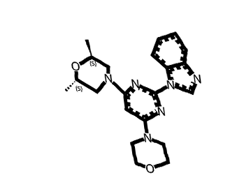 C[C@H]1CN(c2cc(N3CCOCC3)nc(-n3cnc4ccccc43)n2)C[C@H](C)O1